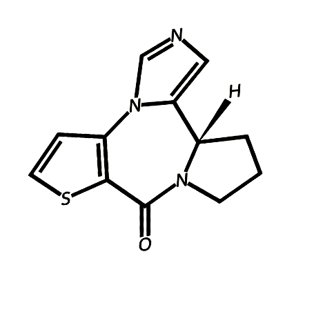 O=C1c2sccc2-n2cncc2[C@@H]2CCCN12